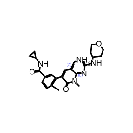 C=C(/N=C1\C(=C/N)C=C(c2cc(C(=O)NC3CC3)ccc2C)C(=O)N1C)NC1CCOCC1